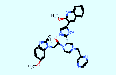 COc1ccc2nc(C)n(CC(=O)N3CCN(Cc4cnccn4)C[C@H]3c3ncc(-c4cc5ccccc5nc4OC)[nH]3)c2c1